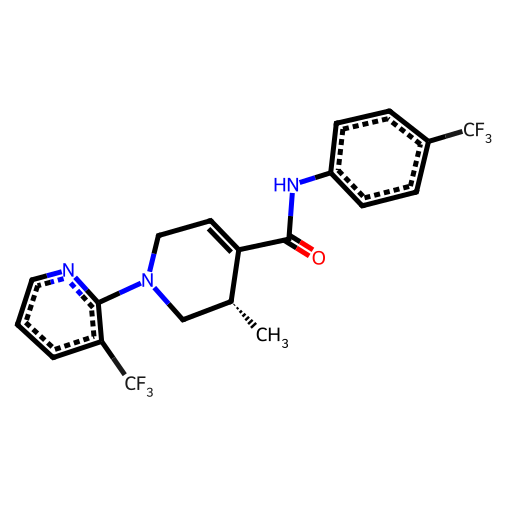 C[C@@H]1CN(c2ncccc2C(F)(F)F)CC=C1C(=O)Nc1ccc(C(F)(F)F)cc1